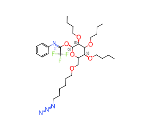 CCCCOC1[C@@H](OCCCC)C(COCCCCCCN=[N+]=[N-])O[C@@H](O/C(=N/c2ccccc2)C(F)(F)F)[C@H]1OCCCC